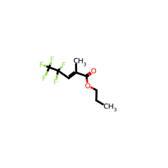 CCCOC(=O)C(C)=CC(F)(F)C(F)(F)F